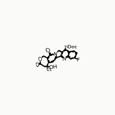 CCCCCCCCCCc1c2c(nc3cc(F)ccc13)-c1cc3c(c(=O)n1C2)COC(=O)C[C@]3(O)CC